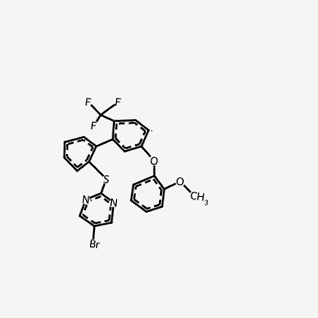 COc1ccccc1Oc1[c]cc(C(F)(F)F)c(-c2ccccc2Sc2ncc(Br)cn2)c1